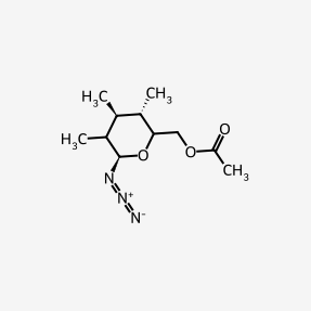 CC(=O)OCC1O[C@@H](N=[N+]=[N-])C(C)[C@@H](C)[C@@H]1C